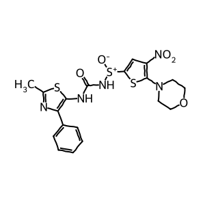 Cc1nc(-c2ccccc2)c(NC(=O)N[S+]([O-])c2cc([N+](=O)[O-])c(N3CCOCC3)s2)s1